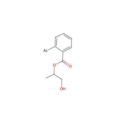 CC(=O)c1ccccc1C(=O)OC(C)CO